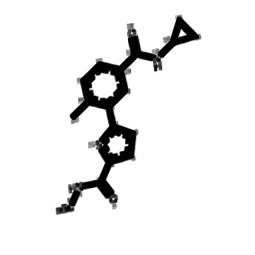 CCCCNC(=O)c1ccc(-c2cc(C(=O)NC3CC3)ccc2C)s1